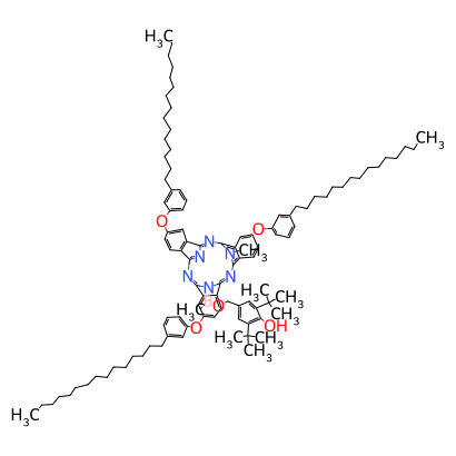 CCCCCCCCCCCCCCCc1cccc(Oc2ccc3c(c2)-c2nc-3nc3c4cc(Oc5cccc(CCCCCCCCCCCCCCC)c5)ccc4c(nc4c5ccc(Oc6cccc(CCCCCCCCCCCCCCC)c6)cc5c(n2)n4C)n3B(C)OCc2cc(C(C)(C)C)c(O)c(C(C)(C)C)c2)c1